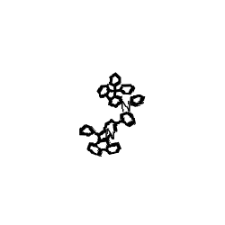 c1ccc(-c2c3c4ccccc4c4ccccc4c3n3cc(-c4cccc(N(c5ccccc5)c5ccc6c(c5)C(c5ccccc5)(c5ccccc5)c5ccccc5-6)c4)ccc23)cc1